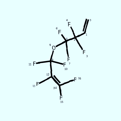 C=CC(F)(F)C(F)(F)OC(F)(F)C(F)=C(F)F